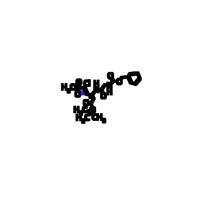 CC(C)(C)OC(=O)C[C@@H](/C=C(\Cl)S(C)(=O)=O)NC(=O)CNC(=O)OCc1ccccc1